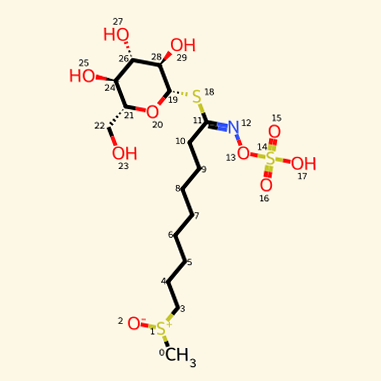 C[S+]([O-])CCCCCCCC/C(=N\OS(=O)(=O)O)S[C@@H]1O[C@H](CO)[C@@H](O)[C@H](O)[C@H]1O